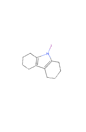 In1c2c(c3c1CCCC3)CCCC2